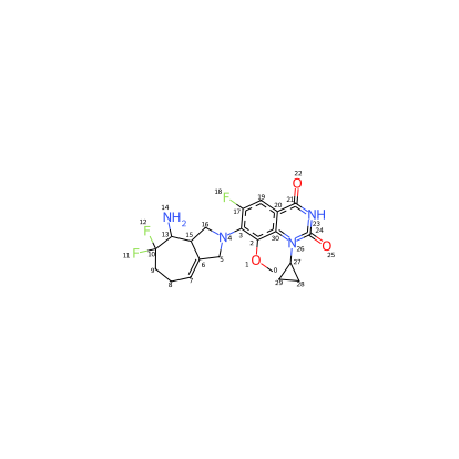 COc1c(N2CC3=CCCC(F)(F)C(N)C3C2)c(F)cc2c(=O)[nH]c(=O)n(C3CC3)c12